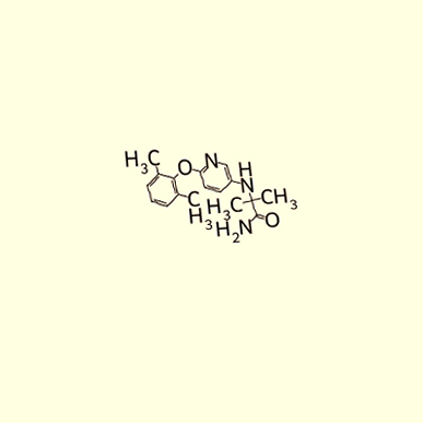 Cc1cccc(C)c1Oc1ccc(NC(C)(C)C(N)=O)cn1